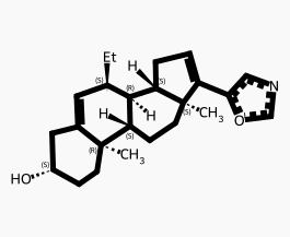 CC[C@@H]1C=C2C[C@@H](O)CC[C@]2(C)[C@H]2CC[C@]3(C)C(c4cnco4)=CC[C@H]3[C@H]12